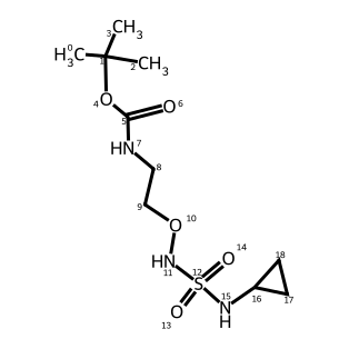 CC(C)(C)OC(=O)NCCONS(=O)(=O)NC1CC1